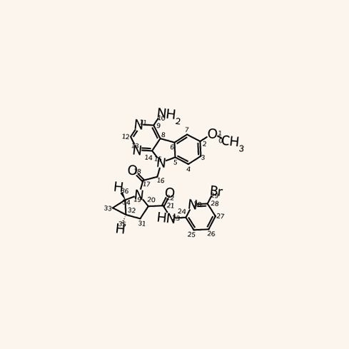 COc1ccc2c(c1)c1c(N)ncnc1n2CC(=O)N1C(C(=O)Nc2cccc(Br)n2)C[C@H]2C[C@@H]21